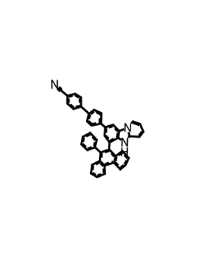 N#Cc1ccc(-c2ccc(-c3cc(-c4c(-c5ccccc5)c5ccccc5c5ccccc45)c4c(c3)N3C=CC=CC3N4)cc2)cc1